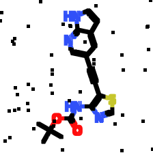 CC(C)(C)OC(=O)Nc1ncsc1C#Cc1cnc2[nH]ccc2c1